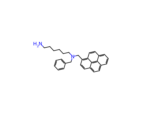 NCCCCCCN(Cc1ccccc1)Cc1ccc2ccc3cccc4ccc1c2c34